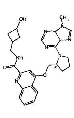 CN1C=NC2C(N3CCC[C@@H]3COc3cc(C(=O)NCC4CC(O)C4)nc4ccccc34)=NC=NC21